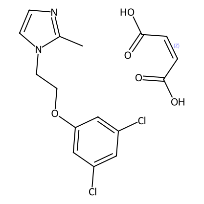 Cc1nccn1CCOc1cc(Cl)cc(Cl)c1.O=C(O)/C=C\C(=O)O